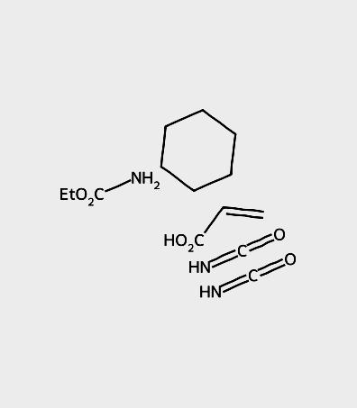 C1CCCCC1.C=CC(=O)O.CCOC(N)=O.N=C=O.N=C=O